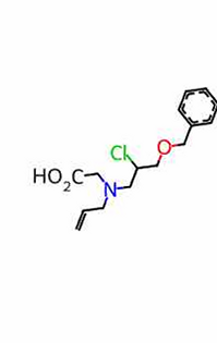 C=CCN(CC(=O)O)CC(Cl)COCc1ccccc1